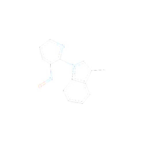 Cc1cn(-c2ncccc2N=O)c2ccccc12